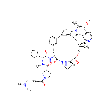 CCn1c(-c2cnccc2[C@H](C)OC)c2c3cc(ccc31)-c1cccc(c1)C[C@H](NC(=O)C(C1CCCC1)N(C)C(=O)[C@H]1CCN(C(=O)C#CCN(C)C)C1)C(=O)N1CCC[C@H](N1)C(=O)OCC(C)(C)C2